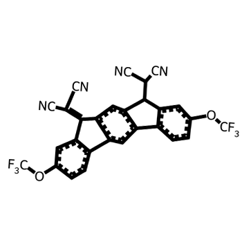 N#CC(C#N)=C1c2cc(OC(F)(F)F)ccc2-c2cc3c(cc21)C(C(C#N)C#N)c1cc(OC(F)(F)F)ccc1-3